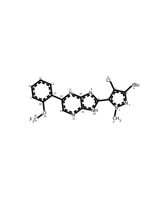 Cn1nc(C(C)(C)C)c(Cl)c1-c1nc2nc(-c3ccccc3OC(F)(F)F)cnc2[nH]1